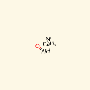 [CaH2].[Ni].[O]=[AlH]